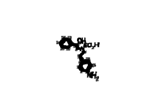 Nc1ccc(CCN(C[C@@H](O)c2ccccc2)C(=O)O)cc1